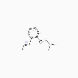 C/C=C/c1ccccc1OCC(C)C